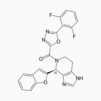 O=C(c1nnc(-c2c(F)cccc2F)o1)N1CCc2[nH]cnc2[C@H]1c1cc2ccccc2o1